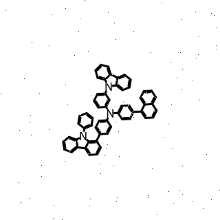 c1ccc(-n2c3ccccc3c3cccc(-c4ccc(N(c5ccc(-c6cccc7ccccc67)cc5)c5cccc(-n6c7ccccc7c7ccccc76)c5)cc4)c32)cc1